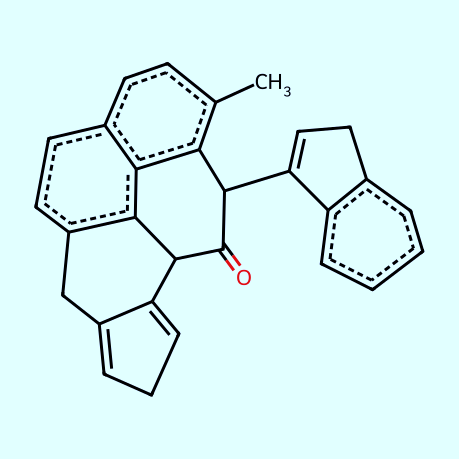 Cc1ccc2ccc3c4c2c1C(C1=CCc2ccccc21)C(=O)C4C1=CCC=C1C3